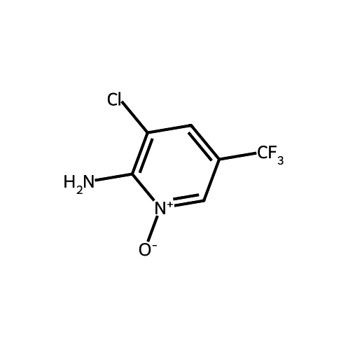 Nc1c(Cl)cc(C(F)(F)F)c[n+]1[O-]